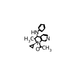 CC(=O)N1c2cnccc2[C@H](Nc2ccccc2)[C@@H](C)[C@@H]1C1CC1